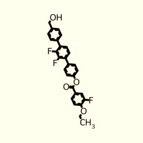 CCOc1ccc(C(=O)Oc2ccc(-c3ccc(-c4ccc(CO)cc4)c(F)c3F)cc2)cc1F